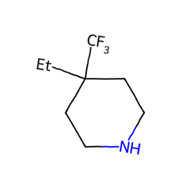 CCC1(C(F)(F)F)CCNCC1